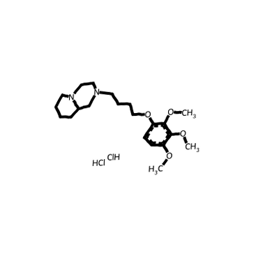 COc1ccc(OCCCCN2CCN3CCCCC3C2)c(OC)c1OC.Cl.Cl